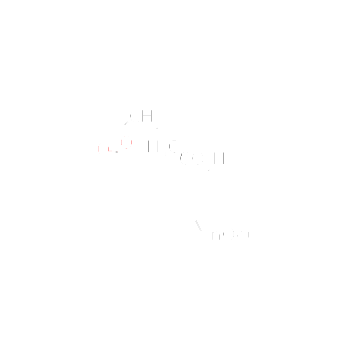 C=COC(=O)CCCCCCCC=CCCCCCCCC.CC(=O)O